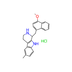 COc1ccc(CC2NCCc3c2[nH]c2ccc(C)cc32)c2ccccc12.Cl